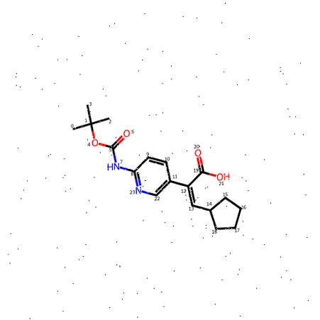 CC(C)(C)OC(=O)Nc1ccc(C(=CC2CCCC2)C(=O)O)cn1